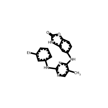 CCc1cccc(Nc2ncc(C)c(Nc3ccc4oc(=O)[nH]c4c3)n2)c1